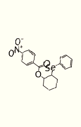 O=C(OC1CCCCC1[Se]c1ccccc1)c1ccc([N+](=O)[O-])cc1